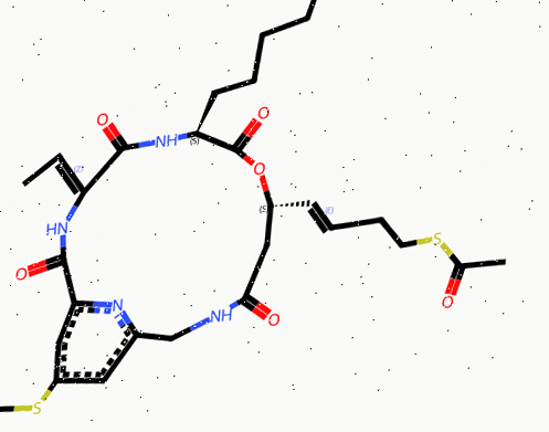 C/C=C1\NC(=O)c2cc(SC)cc(n2)CNC(=O)C[C@@H](/C=C/CCSC(C)=O)OC(=O)[C@H](CCCCC)NC1=O